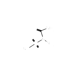 N#CS(=O)(=O)N(N)C(N)=O